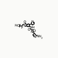 CC(C)(O)C(F)CN1Cc2cc(NC(=O)c3coc(-c4ccnc(N)c4)n3)c(-c3cccnc3)cc2C1=O